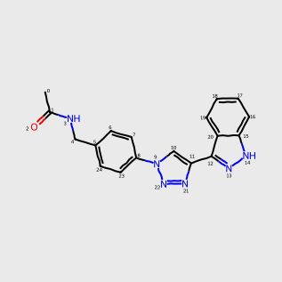 CC(=O)NCc1ccc(-n2cc(-c3n[nH]c4ccccc34)nn2)cc1